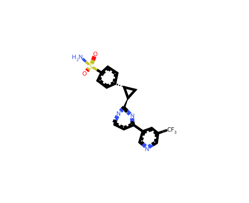 NS(=O)(=O)c1ccc([C@@H]2C[C@H]2c2nccc(-c3cncc(C(F)(F)F)c3)n2)cc1